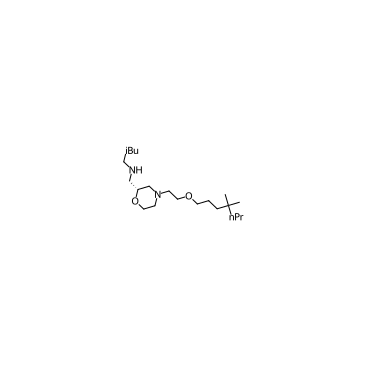 CCCC(C)(C)CCCOCCN1CCO[C@H](CNCC(C)CC)C1